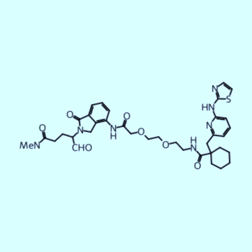 CNC(=O)CCC(C=O)N1Cc2c(NC(=O)COCCOCCNC(=O)C3(Cc4cccc(Nc5nccs5)n4)CCCCC3)cccc2C1=O